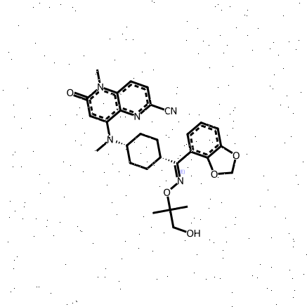 Cn1c(=O)cc(N(C)[C@H]2CC[C@@H](/C(=N\OC(C)(C)CO)c3cccc4c3OCO4)CC2)c2nc(C#N)ccc21